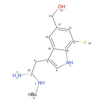 CCCCN[C@H](N)Cc1c[nH]c2c(F)cc(CO)cc12